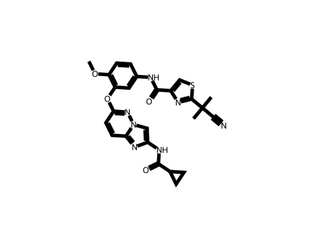 COc1ccc(NC(=O)c2csc(C(C)(C)C#N)n2)cc1Oc1ccc2nc(NC(=O)C3CC3)cn2n1